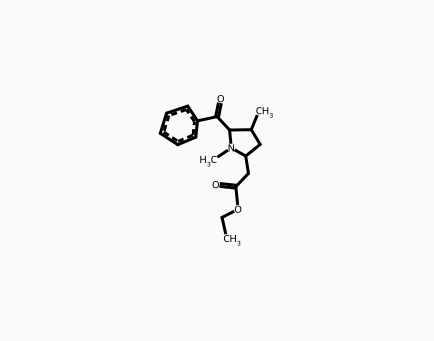 CCOC(=O)CC1CC(C)C(C(=O)c2ccccc2)N1C